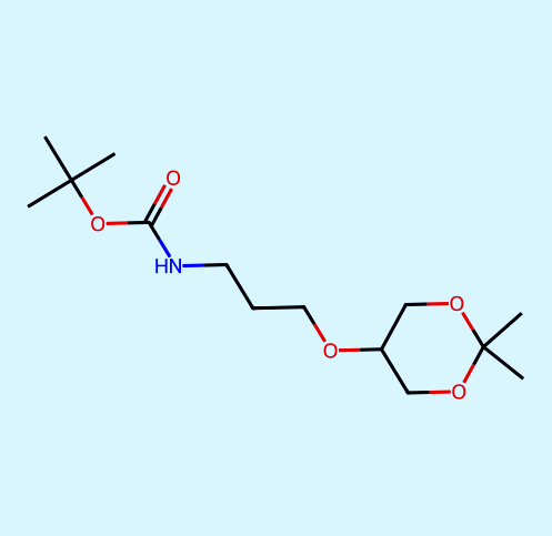 CC(C)(C)OC(=O)NCCCOC1COC(C)(C)OC1